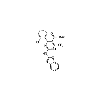 COC(=O)C1=C(C(F)(F)F)NC(Nc2nc3ccccc3o2)=NC1c1ccccc1Cl